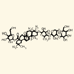 CC1(C)CCC2(C(=O)OC3OC(CO)C(O)C(O)C3O)CCC3(C)C(=CCC4C5(C)CCC(OC6OC(C(=O)O)C(OC7OCC(O)C(OC8OC(CO)C(O)C(O)C8O)C7O)C(O)C6O)C(C)(C)C5CCC43C)C2C1